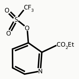 CCOC(=O)c1ncccc1OS(=O)(=O)C(F)(F)F